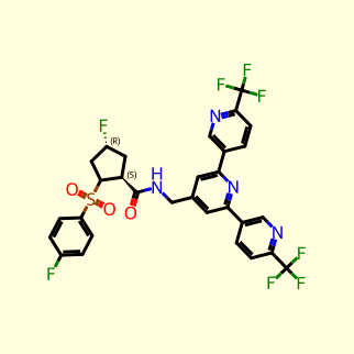 O=C(NCc1cc(-c2ccc(C(F)(F)F)nc2)nc(-c2ccc(C(F)(F)F)nc2)c1)[C@@H]1C[C@@H](F)CC1S(=O)(=O)c1ccc(F)cc1